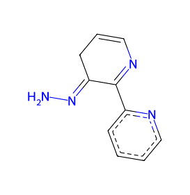 NN=C1CC=CN=C1c1ccccn1